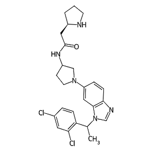 CC(c1ccc(Cl)cc1Cl)n1cnc2ccc(N3CCC(NC(=O)C[C@H]4CCCN4)C3)cc21